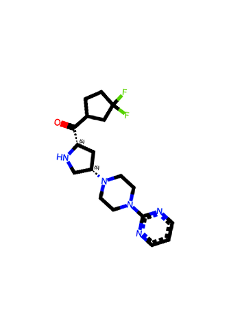 O=C(C1CCC(F)(F)C1)[C@@H]1C[C@H](N2CCN(c3ncccn3)CC2)CN1